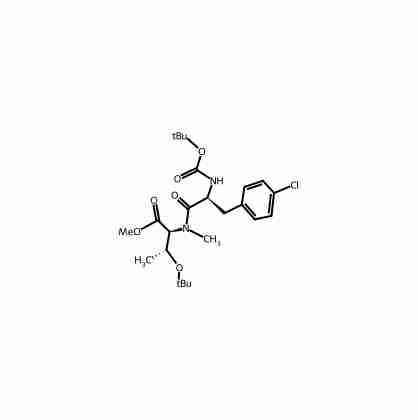 COC(=O)[C@H]([C@@H](C)OC(C)(C)C)N(C)C(=O)[C@H](Cc1ccc(Cl)cc1)NC(=O)OC(C)(C)C